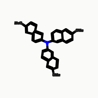 COc1ccc2cc(N(c3ccc4cc(OC)ccc4c3)c3ccc4cc(OC)ccc4c3)ccc2c1